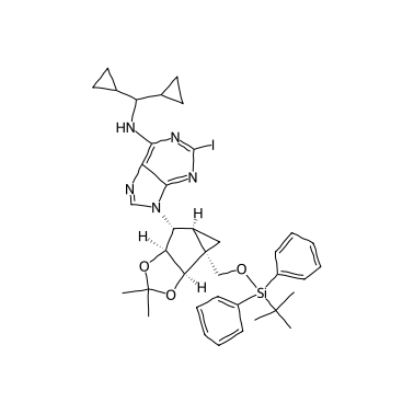 CC1(C)O[C@H]2[C@H](n3cnc4c(NC(C5CC5)C5CC5)nc(I)nc43)[C@H]3C[C@@]3(CO[Si](c3ccccc3)(c3ccccc3)C(C)(C)C)[C@H]2O1